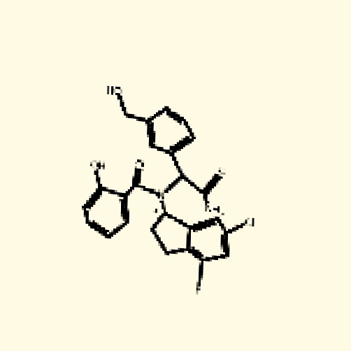 NC(=O)C(c1cccc(CO)c1)N(C(=O)c1ccccc1O)[C@@H]1CCc2c(F)cc(Cl)cc21